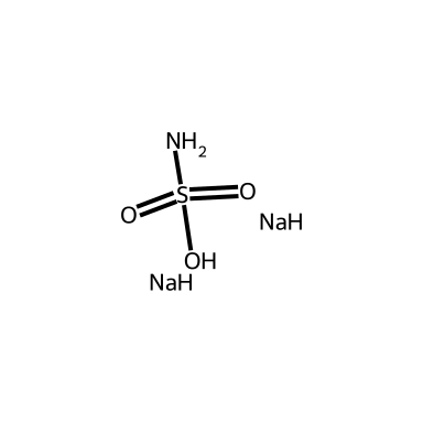 NS(=O)(=O)O.[NaH].[NaH]